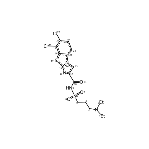 CCN(CC)CCCS(=O)(=O)NC(=O)c1cn2c(n1)sc1c(Cl)c(Cl)ccc12